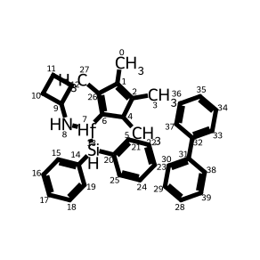 CC1=C(C)C(C)[C]([Hf]([NH]C2CCC2)[SiH](c2ccccc2)c2ccccc2)=C1C.c1ccc(-c2ccccc2)cc1